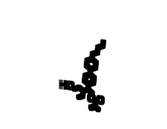 C=C(C)C(=O)OCC(c1ccc(C2CCC(CCCCC)CC2)cc1)C(CC)CCO